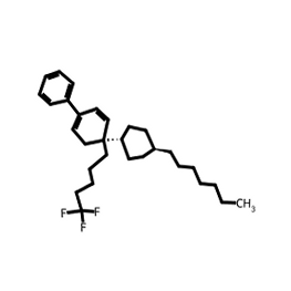 CCCCCCC[C@H]1CC[C@H](C2(CCCCC(F)(F)F)C=CC(c3ccccc3)=CC2)CC1